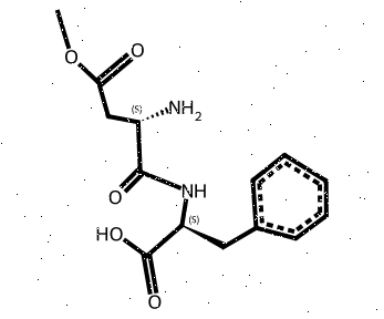 COC(=O)C[C@H](N)C(=O)N[C@@H](Cc1ccccc1)C(=O)O